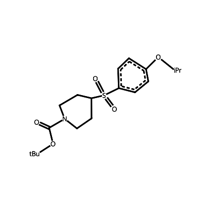 CC(C)Oc1ccc(S(=O)(=O)C2CCN(C(=O)OC(C)(C)C)CC2)cc1